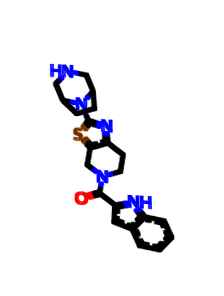 O=C(c1cc2ccccc2[nH]1)N1CCc2nc(N3C4CCC3CNC4)sc2C1